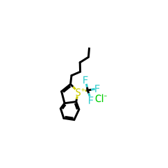 CCCCCc1cc2ccccc2[s+]1C(F)(F)F.[Cl-]